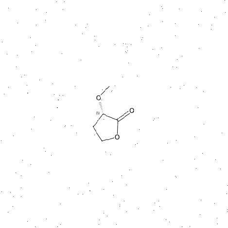 CO[C@H]1CCOC1=O